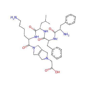 CC(C)CC(NC(=O)C(Cc1ccccc1)NC(=O)C(N)Cc1ccccc1)C(=O)NC(CCCCN)C(=O)N1CC2=C(CN(CC(=O)O)C2)C1